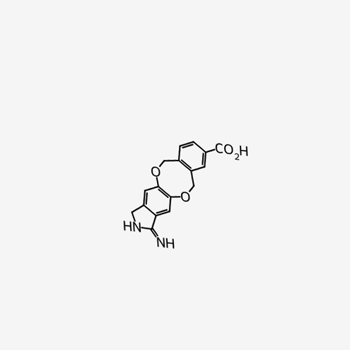 N=C1NCc2cc3c(cc21)OCc1cc(C(=O)O)ccc1CO3